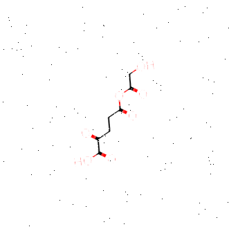 O=C(CO)OC(=O)CCC(=O)C(=O)O